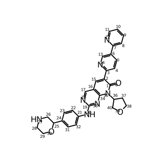 O=c1c(-c2ccc(-c3ccccn3)cn2)cc2cnc(Nc3ccc(C4CNCCO4)cc3)nc2n1C1CCOC1